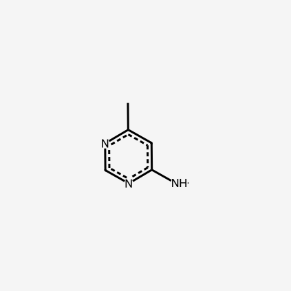 Cc1cc([NH])ncn1